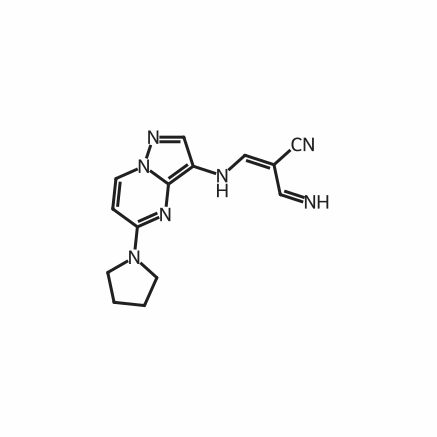 N#C/C(C=N)=C/Nc1cnn2ccc(N3CCCC3)nc12